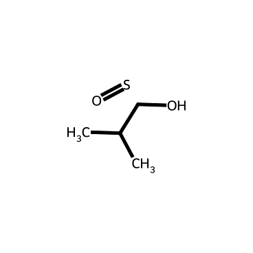 CC(C)CO.O=S